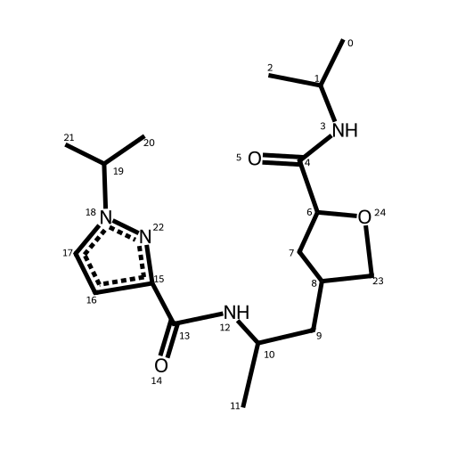 CC(C)NC(=O)C1CC(CC(C)NC(=O)c2ccn(C(C)C)n2)CO1